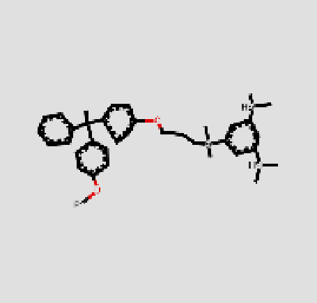 CCOc1ccc(C(C)(c2ccccc2)c2ccc(OCCC[Si](C)(C)c3cc([SiH](C)C)cc([SiH](C)C)c3)cc2)cc1